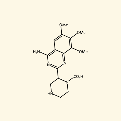 COc1cc2c(N)nc(C3CNCCN3C(=O)O)nc2c(OC)c1OC